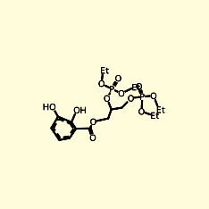 CCOP(=O)(OCC)OCC(COC(=O)c1cccc(O)c1O)OP(=O)(OCC)OCC